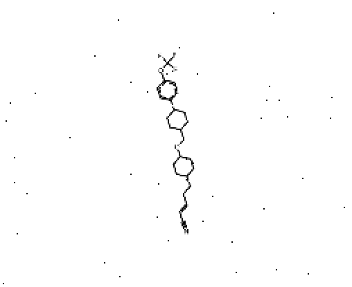 N#CC=CCCC1CCC(OCC2CCC(c3ccc(OC(F)(F)F)cc3)CC2)CC1